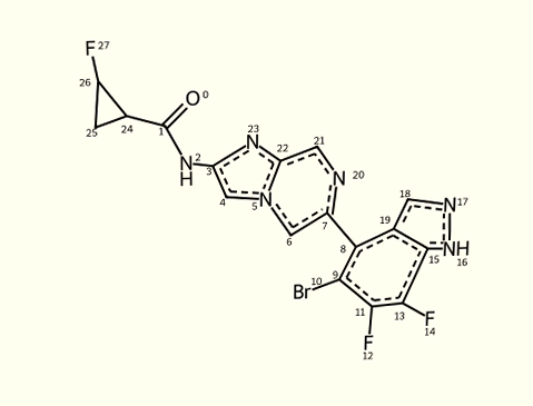 O=C(Nc1cn2cc(-c3c(Br)c(F)c(F)c4[nH]ncc34)ncc2n1)C1CC1F